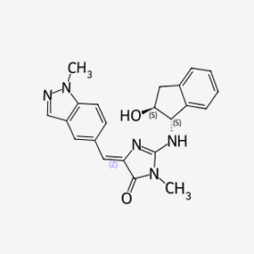 CN1C(=O)/C(=C/c2ccc3c(cnn3C)c2)N=C1N[C@H]1c2ccccc2C[C@@H]1O